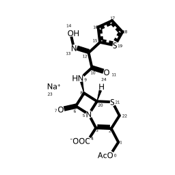 CC(=O)OCC1=C(C(=O)[O-])N2C(=O)[C@@H](NC(=O)C(=NO)c3cccs3)[C@@H]2SC1.[Na+]